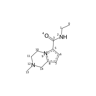 CCNC(=O)c1ccc2n1CCN(C)C2